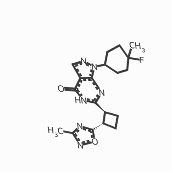 Cc1noc([C@H]2CC[C@@H]2c2nc3c(cnn3C3CCC(C)(F)CC3)c(=O)[nH]2)n1